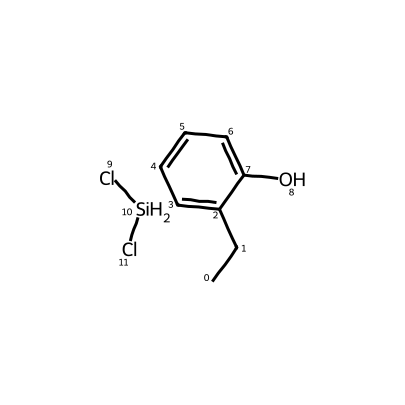 CCc1ccccc1O.Cl[SiH2]Cl